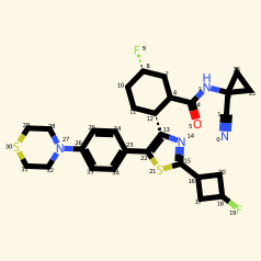 N#CC1(NC(=O)C2C[C@@H](F)CC[C@H]2c2nc(C3CC(F)C3)sc2-c2ccc(N3CCSCC3)cc2)CC1